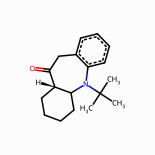 CC(C)(C)N1c2ccccc2CC(=O)[C@H]2CCCCC21